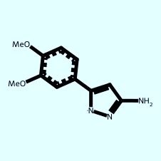 COc1ccc(C2=CC(N)=N[N]2)cc1OC